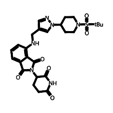 CC(C)(C)S(=O)(=O)N1CCC(n2cc(CNc3cccc4c3C(=O)N(C3CCC(=O)NC3=O)C4=O)cn2)CC1